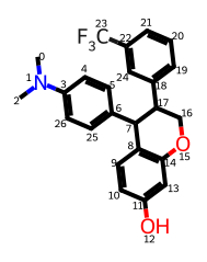 CN(C)c1ccc(C2c3ccc(O)cc3OCC2c2cccc(C(F)(F)F)c2)cc1